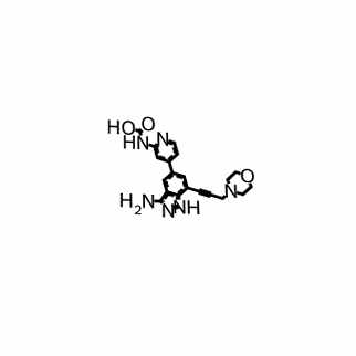 Nc1n[nH]c2c(C#CCN3CCOCC3)cc(-c3ccnc(NC(=O)O)c3)cc12